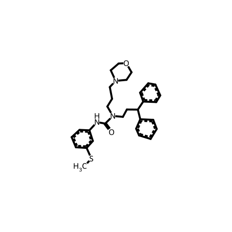 CSc1cccc(NC(=O)N(CCCN2CCOCC2)CCC(c2ccccc2)c2ccccc2)c1